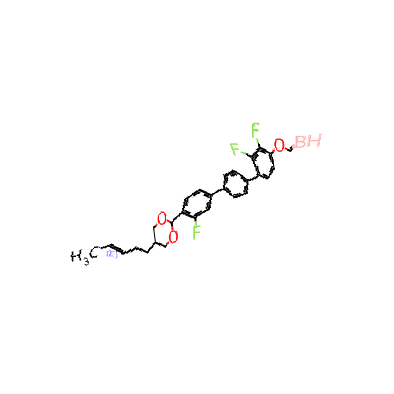 B=COc1ccc(-c2ccc(-c3ccc(C4OCC(CC/C=C/C)CO4)c(F)c3)cc2)c(F)c1F